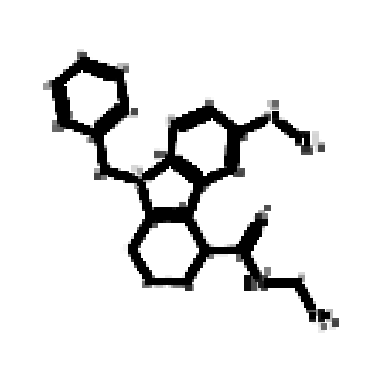 CCNC(=O)C1CCCc2c1c1cc(OC)ccc1n2Cc1ccccc1